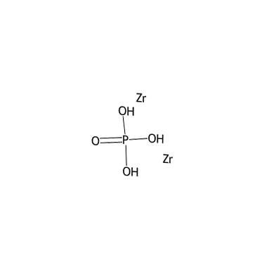 O=P(O)(O)O.[Zr].[Zr]